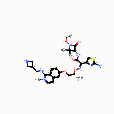 C[n+]1ccc2cc(OC[C@H](O/N=C(\C(=O)N[C@@H]3C(=O)N(OS(=O)(=O)O)C3(C)C)c3csc(N)n3)C(=O)O)ccc2c1NCC1CNC1